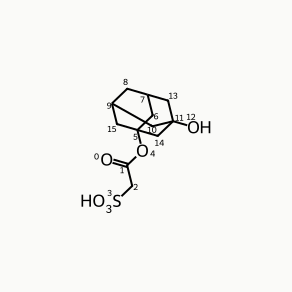 O=C(CS(=O)(=O)O)OC12CC3CC(CC(O)(C3)C1)C2